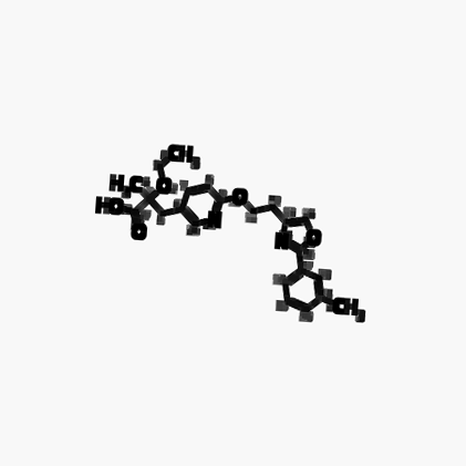 CCOC(C)(Cc1ccc(OCCc2coc(-c3cccc(C)c3)n2)nc1)C(=O)O